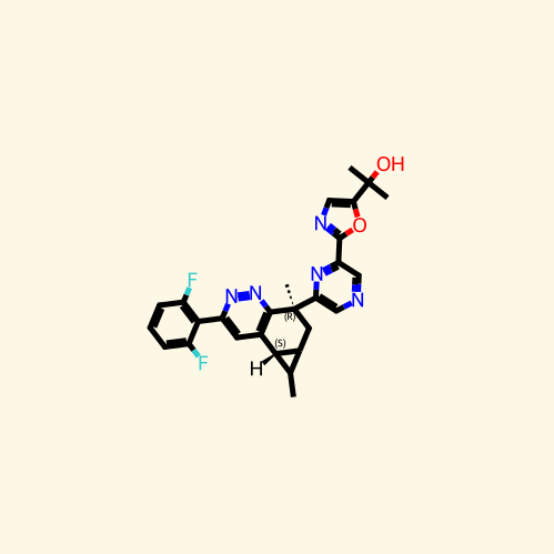 CC1C2C[C@](C)(c3cncc(-c4ncc(C(C)(C)O)o4)n3)c3nnc(-c4c(F)cccc4F)cc3[C@@H]12